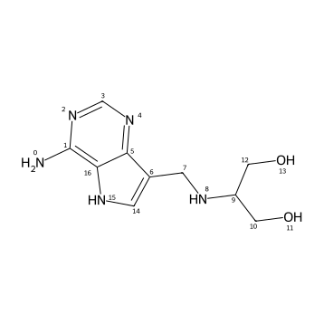 Nc1ncnc2c(CNC(CO)CO)c[nH]c12